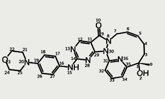 C[C@]1(O)CC/C=C\Cn2c(=O)c3cnc(Nc4ccc(N5CCOCC5)cc4)nc3n2-c2cccc1n2